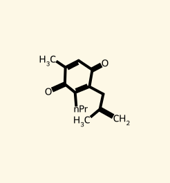 C=C(C)CC1=C(CCC)C(=O)C(C)=CC1=O